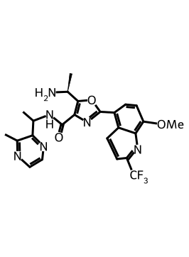 COc1ccc(-c2nc(C(=O)NC(C)c3nccnc3C)c([C@H](C)N)o2)c2ccc(C(F)(F)F)nc12